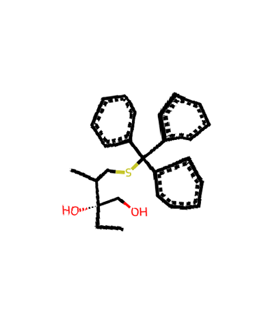 CC[C@](O)(CO)C(C)CSC(c1ccccc1)(c1ccccc1)c1ccccc1